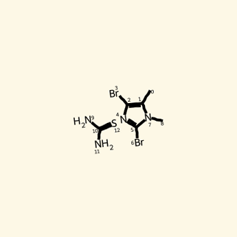 Cc1c(Br)nc(Br)n1C.NC(N)=S